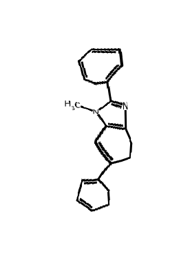 Cn1c(-c2ccccc2)nc2c1C=C(C1=CC=CCC1)CC2